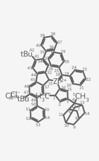 CC1C=C(C2(C)C3CC4CC(C3)CC2C4)C=[C]1[Zr+2](=[C](c1ccccc1)c1ccccc1)[CH]1c2cc(-c3ccccc3)c(C(C)(C)C)cc2-c2cc(C(C)(C)C)c(-c3ccccc3)cc21.[Cl-].[Cl-]